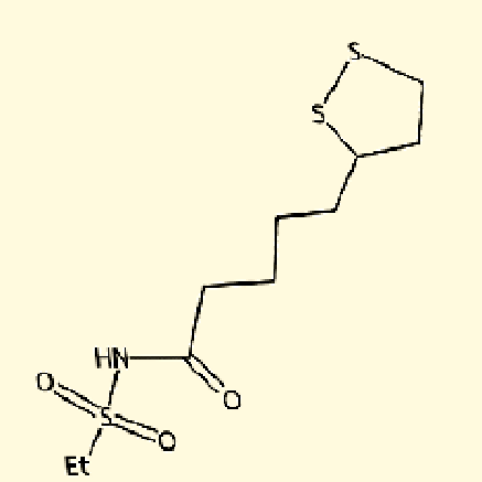 CCS(=O)(=O)NC(=O)CCCCC1CCSS1